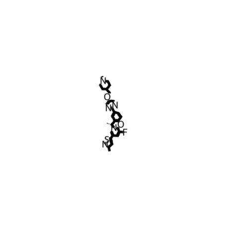 Cc1cc(-c2cc(F)c(=O)n([C@H](C)c3cccc(-c4ncc(OCC5CCN(C)CC5)cn4)c3)c2)sn1